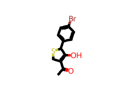 CC(=O)C1=C(O)C(c2ccc(Br)cc2)SC1